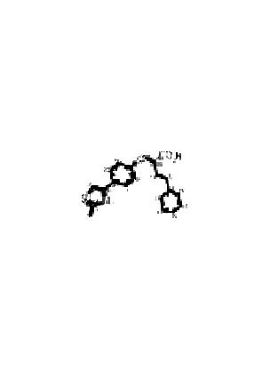 Cc1nc(-c2ccc(O[C@@H](CCc3ccccc3)C(=O)O)cc2)cs1